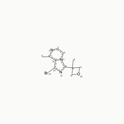 Cc1nccn2c(C3(C)COC3)nc(Br)c12